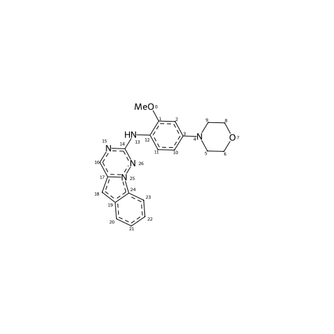 COc1cc(N2CCOCC2)ccc1Nc1ncc2cc3ccccc3n2n1